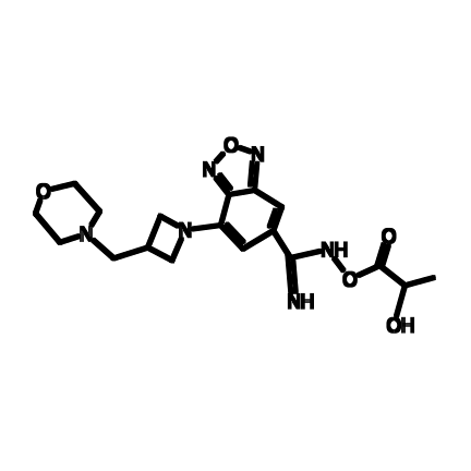 CC(O)C(=O)ONC(=N)c1cc(N2CC(CN3CCOCC3)C2)c2nonc2c1